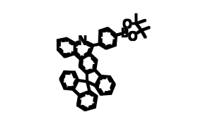 CC1(C)OB(c2ccc(-c3nc4ccccc4c4cc5c(cc34)-c3ccccc3C53c4ccccc4-c4ccccc43)cc2)OC1(C)C